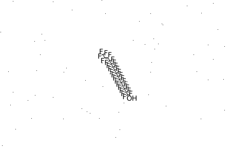 OC(F)(F)C(F)(F)C(F)(F)C(F)(F)C(F)(F)C(F)(F)C(F)(F)C(F)(F)C(F)(F)C(F)(F)C(F)(F)C(F)(F)C(F)=C(F)C(F)(F)F